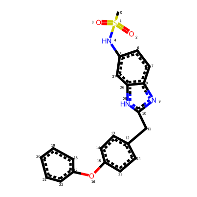 CS(=O)(=O)Nc1ccc2nc(Cc3ccc(Oc4ccccc4)cc3)[nH]c2c1